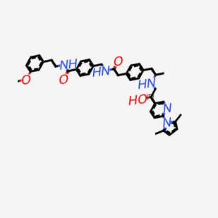 COc1cccc(CCNC(=O)c2ccc(CNC(=O)Cc3ccc(CC(C)NC[C@H](O)c4ccc(-n5c(C)ccc5C)nc4)cc3)cc2)c1